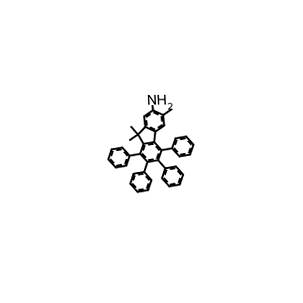 Cc1cc2c(cc1N)C(C)(C)c1c(-c3ccccc3)c(-c3ccccc3)c(-c3ccccc3)c(-c3ccccc3)c1-2